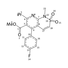 COC(=O)c1c(C(C)C)nc2c(c1-c1ccc(F)cc1)C=CS(=O)(=O)N2C